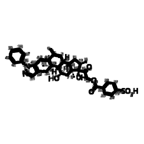 CC1=C[C@@H]2[C@H]([C@@H](O)C[C@@]3(C)[C@H]2C[C@@H](C)[C@]3(O)C(=O)COC(=O)c2ccc(S(=O)(=O)O)cc2)[C@@]2(C)Cc3cnn(-c4ccccc4)c3C=C12